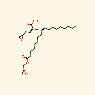 CC(=CCC1CO1)C(=O)O.CCCCCCCC/C=C\CCCCCCCC(=O)OCC1CO1